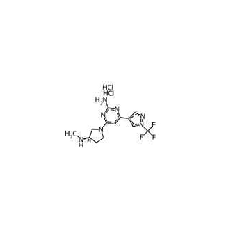 CN[C@@H]1CCN(c2cc(-c3cnn(C(F)(F)F)c3)nc(N)n2)C1.Cl.Cl